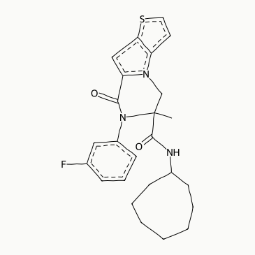 CC1(C(=O)NC2CCCCCCC2)Cn2c(cc3sccc32)C(=O)N1c1cccc(F)c1